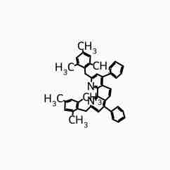 Cc1cc(C)c(Cc2cc(-c3ccccc3)c3ccc4c(-c5ccccc5)cc(Cc5c(C)cc(C)cc5C)nc4c3n2)c(C)c1